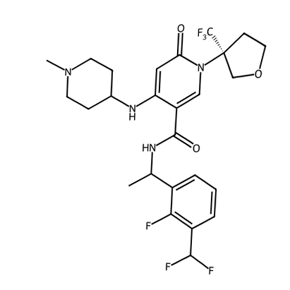 CC(NC(=O)c1cn([C@@]2(C(F)(F)F)CCOC2)c(=O)cc1NC1CCN(C)CC1)c1cccc(C(F)F)c1F